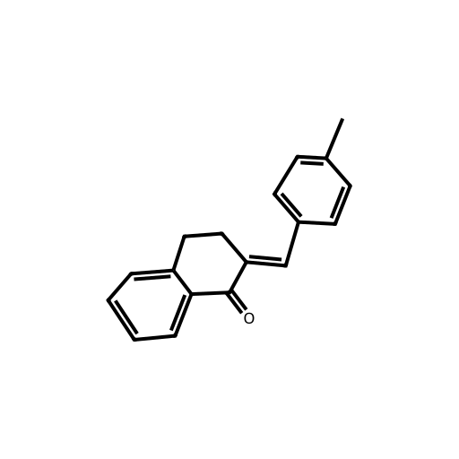 Cc1ccc(/C=C2\CCc3ccccc3C2=O)cc1